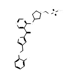 NS(=O)(=O)OC[C@@H]1CCC(Nc2ncncc2C(=O)c2cc(COc3ccccc3C(F)(F)F)cs2)C1